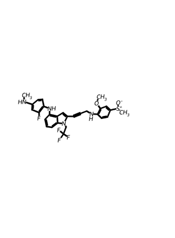 CNc1ccc(Nc2cccc3c2cc(C#CCNc2ccc([S+](C)[O-])cc2OC)n3CC(F)(F)F)c(F)c1